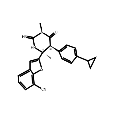 CN1C(=N)N[C@](C)(c2cc3cccc(C#N)c3s2)[C@H](c2ccc(C3CC3)cc2)C1=O